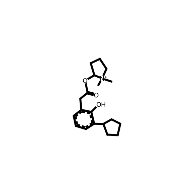 C[N+]1(C)CCCC1OC(=O)Cc1cccc(C2CCCC2)c1O